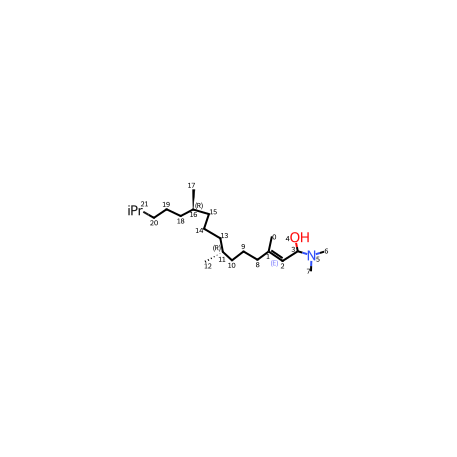 C/C(=C\C(O)N(C)C)CCC[C@H](C)CCC[C@H](C)CCCC(C)C